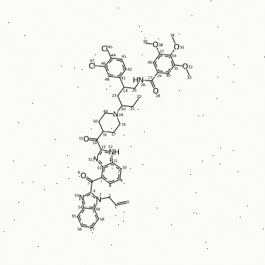 C=CCn1c(C(=O)c2cccc3[nH]c(C(=O)C4CCN(C(CC)CC(CNC(=O)c5cc(OC)c(OC)c(OC)c5)c5ccc(Cl)c(Cl)c5)CC4)nc23)nc2ccccc21